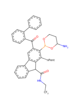 CCCCCc1c2c(cc(C(=O)c3ccccc3-c3ccccc3)c1P1OCCC(N)O1)-c1ccccc1C2C(=O)NCC(F)(F)F